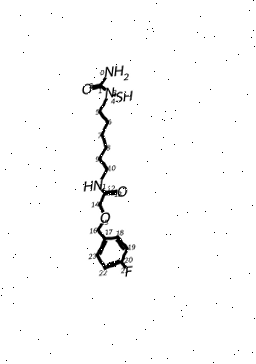 NC(=O)N(S)CCCCCCNC(=O)COCc1ccc(F)cc1